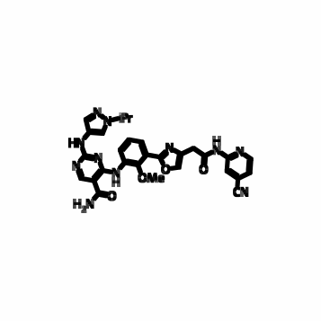 COc1c(Nc2nc(Nc3cnn(C(C)C)c3)ncc2C(N)=O)cccc1-c1nc(CC(=O)Nc2cc(C#N)ccn2)co1